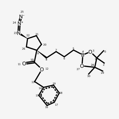 CC1(C)OB(CCCC[C@]2(C(=O)OCc3ccccc3)CC[C@H](N=[N+]=[N-])C2)OC1(C)C